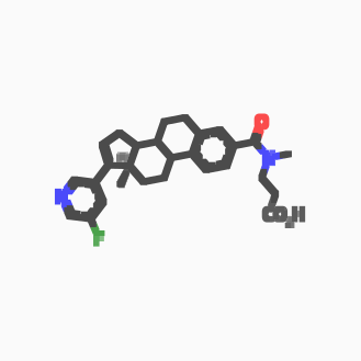 CN(CCC(=O)O)C(=O)c1ccc2c(c1)CCC1C2CC[C@]2(C)C(c3cncc(F)c3)=CCC12